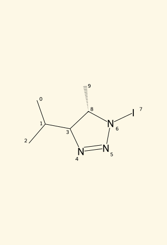 CC(C)C1N=NN(I)[C@H]1C